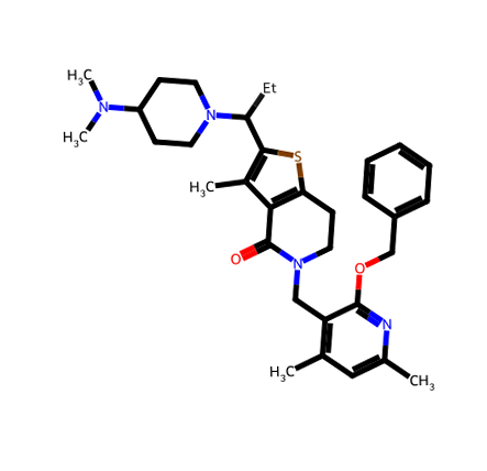 CCC(c1sc2c(c1C)C(=O)N(Cc1c(C)cc(C)nc1OCc1ccccc1)CC2)N1CCC(N(C)C)CC1